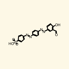 O=Cc1cc(N=Nc2ccc(N=Nc3ccc(S(=O)(=O)O)cc3)cc2)ccc1O